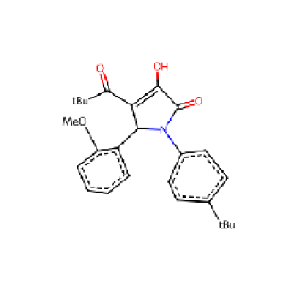 COc1ccccc1C1C(C(=O)C(C)(C)C)=C(O)C(=O)N1c1ccc(C(C)(C)C)cc1